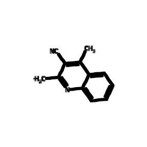 [CH2]c1nc2ccccc2c(C)c1C#N